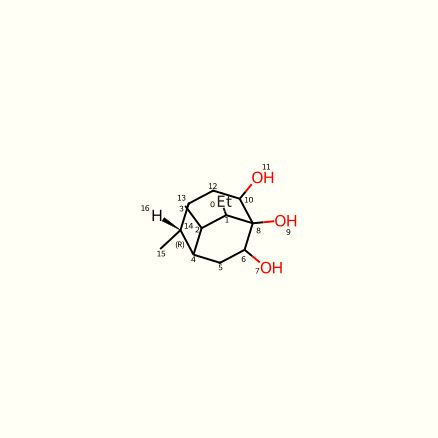 CCC1C(C)C2CC(O)C1(O)C(O)CC[C@H]2C